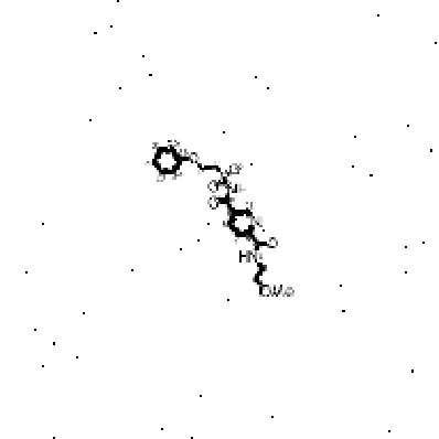 COCCNC(=O)c1ccc(C(=O)NS(=O)(=O)CCOc2ccccc2)cn1